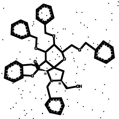 COC(=O)[C@H]1N(Cc2ccccc2)[C@H](CO)CC12OC(COCc1ccccc1)C(OCc1ccccc1)C(OCc1ccccc1)C2OCc1ccccc1